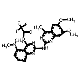 COc1cc2nc(Nc3nc(OC(=O)C(F)(F)F)c4c(N(C)C)cccc4n3)nc(C)c2cc1OC